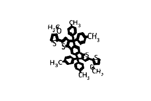 COc1ccsc1-c1cc2c(s1)-c1cc3c(cc1C2(c1ccc(C)cc1)c1ccc(C)cc1)-c1sc(-c2sccc2OC)cc1C3(c1ccc(C)cc1)c1ccc(C)cc1